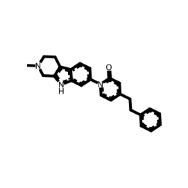 CN1CCc2c([nH]c3cc(-n4ccc(CCc5ccccc5)cc4=O)ccc23)C1